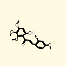 COc1ccc(/C=C/C(=O)c2c(O)cc(OC)c(OC)c2OC)c(F)c1